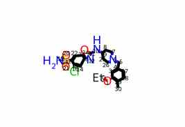 CCOc1cc(CN2CCC(Nc3nc4cc(Cl)c(S(N)(=O)=O)cc4o3)CC2)ccc1C